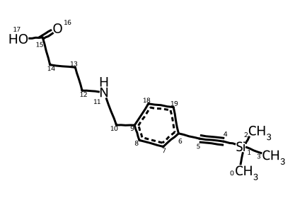 C[Si](C)(C)C#Cc1ccc(CNCCCC(=O)O)cc1